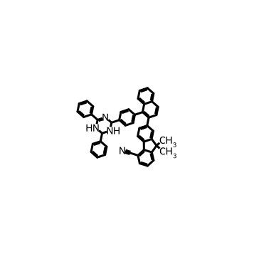 CC1(C)c2cc(-c3ccc4ccccc4c3-c3ccc(C4N=C(c5ccccc5)NC(c5ccccc5)N4)cc3)ccc2-c2c(C#N)cccc21